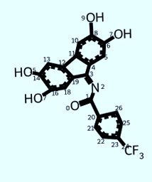 O=C(N=C1c2cc(O)c(O)cc2-c2cc(O)c(O)cc21)c1ccc(C(F)(F)F)cc1